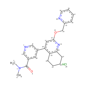 CN(C)C(=O)c1cncc(-c2cc(OCc3ccccn3)nc3c2CCCC3)c1.Cl